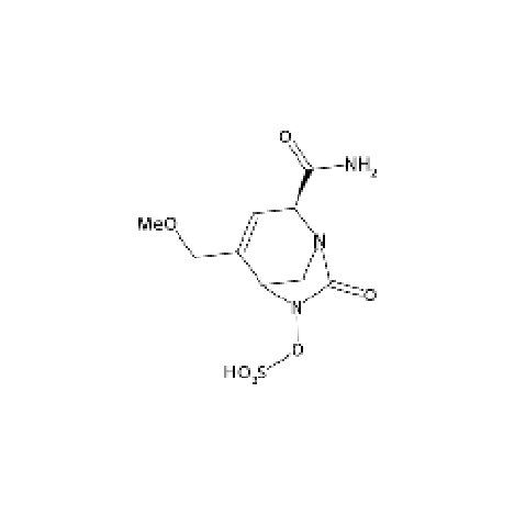 COCC1=C[C@@H](C(N)=O)N2CC1N(OS(=O)(=O)O)C2=O